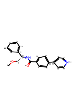 COC[C@@H](NC(=O)c1ccc(-c2ccncc2)cc1)c1ccccc1